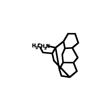 CCC1CC2CC3CC4CCCC5C4CC3C(C2)C15N